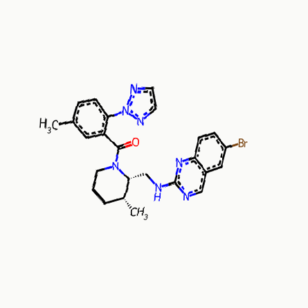 Cc1ccc(-n2nccn2)c(C(=O)N2CCC[C@@H](C)[C@H]2CNc2ncc3cc(Br)ccc3n2)c1